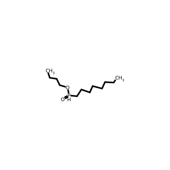 CCCCCCCC[PH](=O)OCCCC